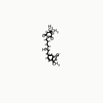 CN1C[S+]([O-])c2cc(CCNCCCCN3C(=O)CC(C)(C)CC3=O)ccc21